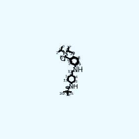 CC(C)N(C(=O)c1cccc(NCC2CCC(NSC(C)(C)C)CC2)c1)C(C)C